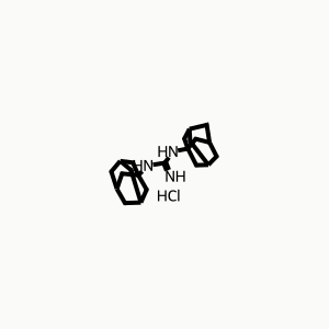 Cl.N=C(NC12CC3CC(CC(C3)C1)C2)NC12CC3CC(CC(C3)C1)C2